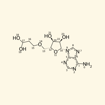 Nc1ncnc2c1ncn2[C@@H]1O[C@H](COCCC(O)O)[C@@H](O)[C@H]1O